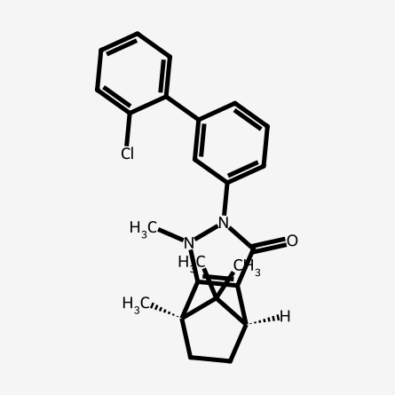 Cn1c2c(c(=O)n1-c1cccc(-c3ccccc3Cl)c1)[C@H]1CC[C@]2(C)C1(C)C